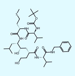 CSCC[C@H](NC(=O)[C@@H](NC(=O)OC(C)(C)C)C(C)C)C(=O)N[C@@H](CC(C)C)[C@@H](O)C[C@@H](CCO)C(=O)N[C@H](C(=O)NCc1ccccc1)C(C)C